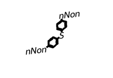 CCCCCCCCCc1ccc(Sc2ccc(CCCCCCCCC)cc2)cc1